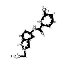 O=C(O)Cn1cc2cc(NC(=O)c3cccc(C(F)(F)F)n3)ccc2n1